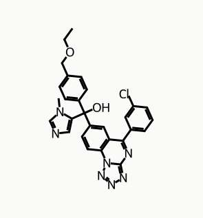 CCOCc1ccc(C(O)(c2ccc3c(c2)c(-c2cccc(Cl)c2)nc2nnnn23)c2cncn2C)cc1